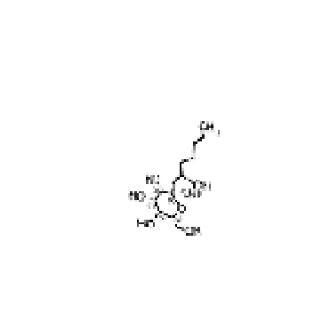 CCCCCC(O)C[C@@]1(O)O[C@H](CO)[C@@H](O)[C@H](O)[C@@H]1O